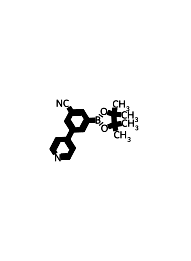 CC1(C)OB(c2cc(C#N)cc(-c3ccncc3)c2)OC1(C)C